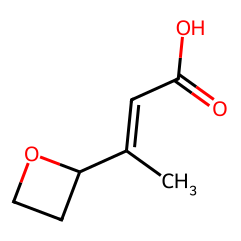 CC(=CC(=O)O)C1CCO1